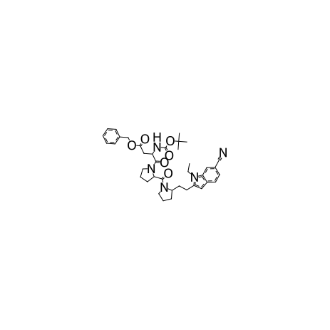 CCn1c(CCC2CCCN2C(=O)C2CCCN2C(=O)C(CC(=O)OCc2ccccc2)NC(=O)OC(C)(C)C)cc2ccc(C#N)cc21